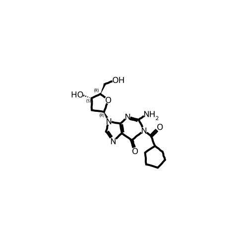 Nc1nc2c(ncn2[C@H]2C[C@H](O)[C@@H](CO)O2)c(=O)n1C(=O)C1CCCCC1